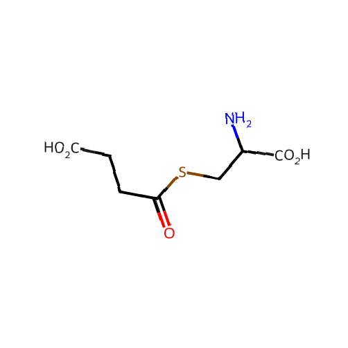 NC(CSC(=O)CCC(=O)O)C(=O)O